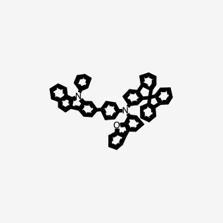 c1ccc(-n2c3cc(-c4ccc(N(c5ccc6c(c5)C5(c7ccccc7-c7ccccc75)c5ccccc5-6)c5cccc6c5oc5ccccc56)cc4)ccc3c3ccc4ccccc4c32)cc1